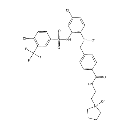 O=C(NCC[N+]1([O-])CCCC1)c1ccc(C[S+]([O-])c2ccc(Cl)cc2NS(=O)(=O)c2ccc(Cl)c(C(F)(F)F)c2)cc1